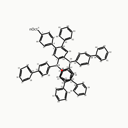 CCCCCCCCc1ccc(-c2cc(N(c3ccc(-c4ccccc4)cc3)c3ccc(-c4ccccc4)cc3)c(N(c3ccc(-c4ccccc4)cc3)c3ccc(-c4ccccc4)cc3)cc2-c2ccccc2)cc1